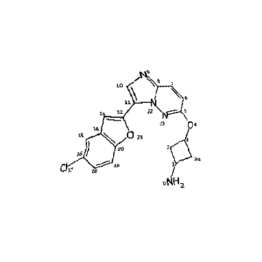 NC1CC(Oc2ccc3ncc(-c4cc5cc(Cl)ccc5o4)n3n2)C1